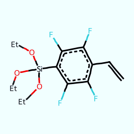 C=Cc1c(F)c(F)c([Si](OCC)(OCC)OCC)c(F)c1F